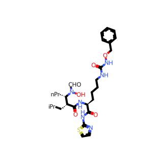 CCC[C@@H]([C@@H](CC(C)C)C(=O)N[C@@H](CCCCNC(=O)NOCc1ccccc1)C(=O)Nc1nccs1)N(O)C=O